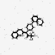 CCC(C)(C)C(=O)C(C1CCc2ccccc2N1)N1CCN(c2cccc3c2OCCO3)CC1